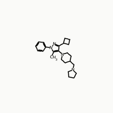 Cc1c(N2CCC(CN3CCCC3)CC2)c(C2CCC2)nn1-c1ccccc1